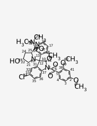 COc1ccc(S(=O)(=O)N2C(=O)C(c3cnccc3C)(N3C[C@H](O)C[C@H]3C(=O)N(C)C)c3cc(Cl)ccc32)c(OC)c1